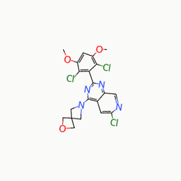 COc1cc(OC)c(Cl)c(-c2nc(N3CC4(COC4)C3)c3cc(Cl)ncc3n2)c1Cl